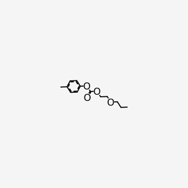 CCCOCCOC(=O)Oc1ccc(C)cc1